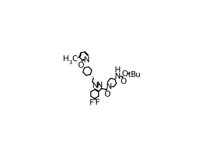 Cc1cccnc1O[C@H]1CC[C@@H](CCn2nc(C(=O)N3CCC(NC(=O)OC(C)(C)C)CC3)c3c2CCC(F)(F)C3)CC1